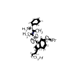 C/C(=C(/C)S(=O)(=O)n1cc(CCC(=O)O)c2ccc(OC(C)C)cc21)N(N)c1ccccc1